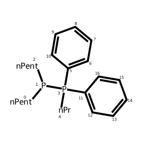 CCCCCP(CCCCC)[P](CCC)(c1ccccc1)c1ccccc1